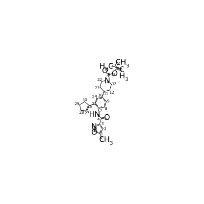 Cc1cc(C(=O)Nc2ccc(C3CCN(C(=O)OC(C)(C)C)CC3)cc2C2=CCCC2)no1